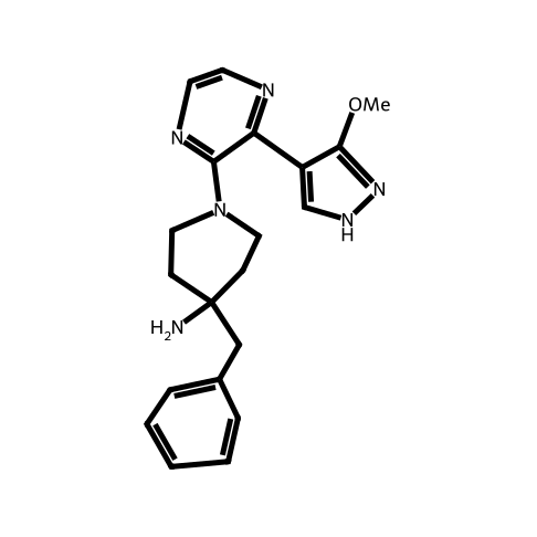 COc1n[nH]cc1-c1nccnc1N1CCC(N)(Cc2ccccc2)CC1